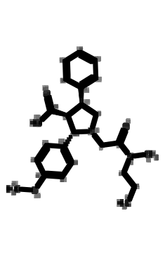 CCCN(C)C(=O)CN1C[C@H](c2ccccc2)[C@H](C(=O)O)[C@H]1c1ccc(OC)cc1